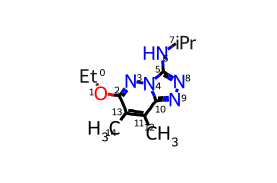 CCOc1nn2c(NC(C)C)nnc2c(C)c1C